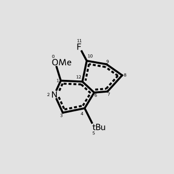 COc1ncc(C(C)(C)C)c2cccc(F)c12